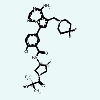 C[C@@](O)(C(=O)N1C[C@H](F)[C@H](NC(=O)c2cc(-c3cc(CN4CCC(F)(F)CC4)c4c(N)ncnn34)ccc2Cl)C1)C(F)(F)F